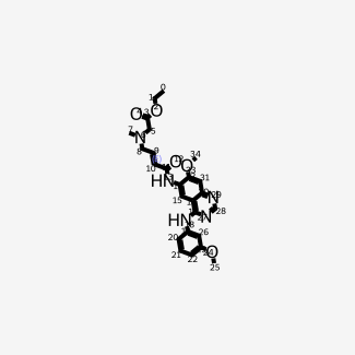 CCOC(=O)CN(C)C/C=C/C(=O)Nc1cc2c(Nc3cccc(OC)c3)ncnc2cc1OC